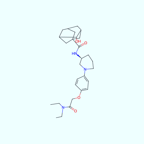 CCN(CC)C(=O)COc1ccc(N2CCC[C@H](NC(=O)C34CC5CC(C3)C(O)C(C5)C4)C2)cc1